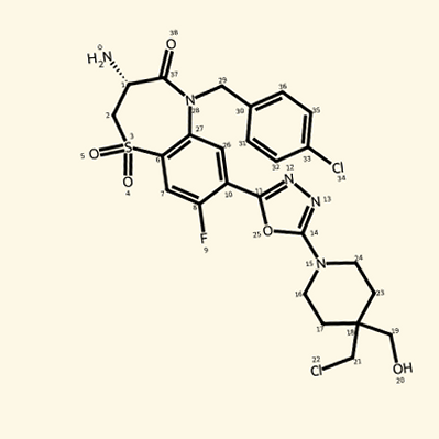 N[C@H]1CS(=O)(=O)c2cc(F)c(-c3nnc(N4CCC(CO)(CCl)CC4)o3)cc2N(Cc2ccc(Cl)cc2)C1=O